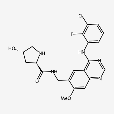 COc1cc2ncnc(Nc3cccc(Cl)c3F)c2cc1CNC(=O)[C@H]1C[C@H](O)CN1